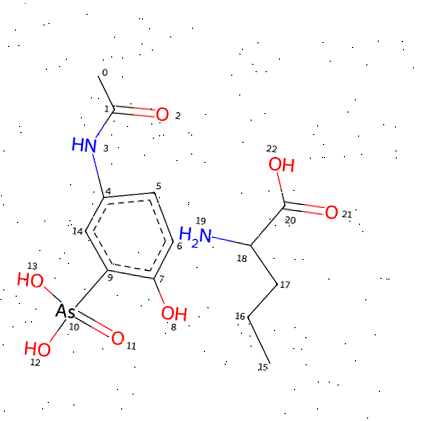 CC(=O)Nc1ccc(O)c([As](=O)(O)O)c1.CCCC(N)C(=O)O